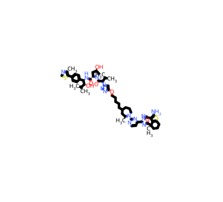 Cc1ncsc1-c1ccc([C@@H](NC(=O)[C@@H]2C[C@@H](O)CN2C(=O)C(C(C)C)n2cc(OCCCCCC3CCCN(c4nccc(-c5noc([C@@]6(C)CCCc7sc(N)c(C#N)c76)n5)n4)[C@@H](C)C3)nn2)[C@H](O)C(C)C)cc1